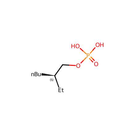 CCCC[C@H](CC)COP(=O)(O)O